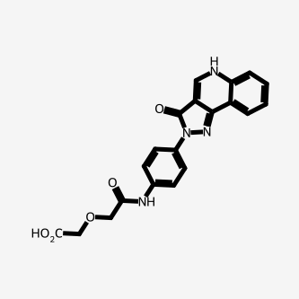 O=C(O)COCC(=O)Nc1ccc(-n2nc3c4ccccc4[nH]cc-3c2=O)cc1